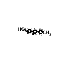 Cc1ccc(-c2ccc(-c3ccc(CCO)cc3)c(F)c2)cc1